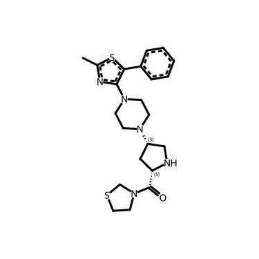 Cc1nc(N2CCN([C@@H]3CN[C@H](C(=O)N4CCSC4)C3)CC2)c(-c2ccccc2)s1